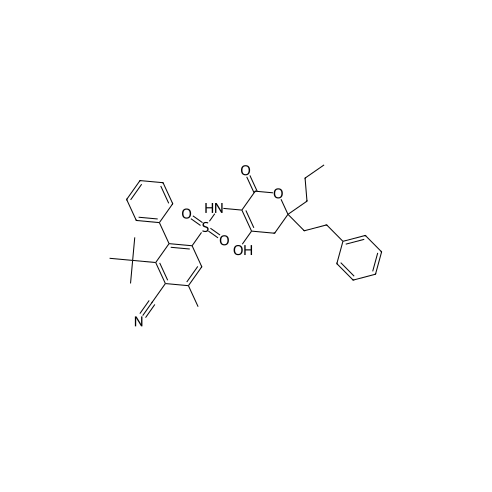 CCCC1(CCc2ccccc2)CC(O)=C(NS(=O)(=O)c2cc(C)c(C#N)c(C(C)(C)C)c2-c2ccccc2)C(=O)O1